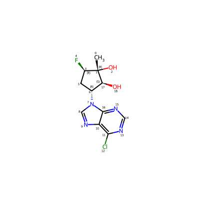 C[C@]1(O)[C@H](F)C[C@@H](n2cnc3c(Cl)ncnc32)[C@@H]1O